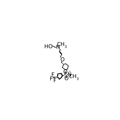 CN(CC=CCOC[C@H]1CC[C@H](CN(C)S(=O)(=O)c2ccc(C(F)(F)F)cc2)CC1)CCO